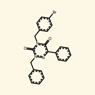 O=c1c(-c2ccccc2)nn(Cc2ccccc2)c(=O)n1Cc1ccc(Br)cc1